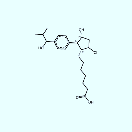 CC(C)C(O)c1ccc([C@H]2[C@H](O)CC(Cl)[C@@H]2CCCCCCC(=O)O)cc1